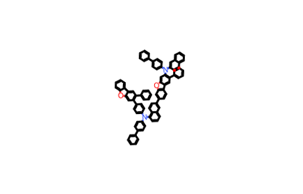 c1ccc(-c2ccc(N(c3ccc4ccccc4c3)c3cc4oc5cc(-c6ccc7c(N(c8ccc(-c9ccccc9)cc8)c8ccc(-c9cc%10oc%11ccccc%11c%10cc9-c9ccccc9)cc8)cccc7c6)ccc5c4cc3-c3ccccc3)cc2)cc1